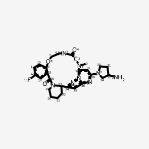 CN1CC(=O)NCCOc2ccc(F)cc2C(=O)N2CCCCC2c2cc3nc(N4CCC(N)C4)cc1n3n2